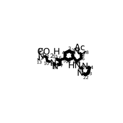 CC(=O)N1c2ccc(-c3cnn(CCN(C)C(=O)O)c3)cc2[C@H](Nc2ncccn2)C[C@@H]1C